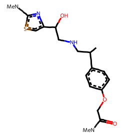 CNC(=O)COc1ccc(C(C)CNCC(O)c2csc(NC)n2)cc1